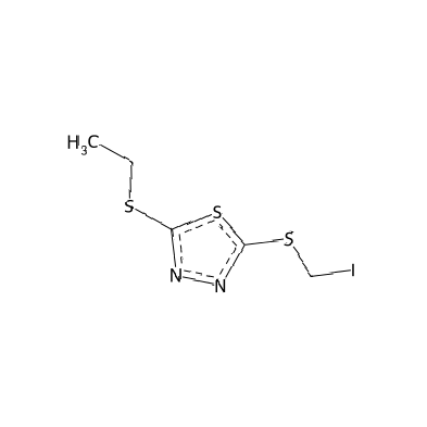 CCSc1nnc(SCI)s1